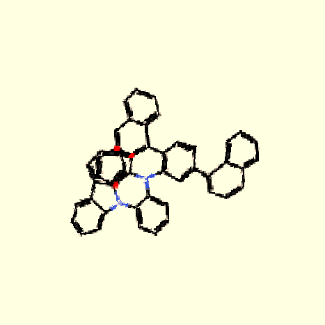 c1ccc(N(c2cc(-c3cccc4ccccc34)ccc2-c2cccc3ccccc23)c2ccccc2-n2c3ccccc3c3ccccc32)cc1